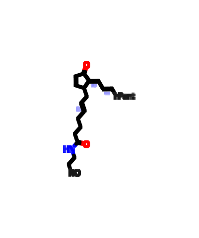 CCCCC/C=C/C=C1/C(=O)C=CC1C/C=C/CCCC(=O)NCCN=O